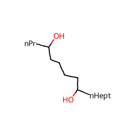 CCCCCCCC(O)CCCCC(O)CCC